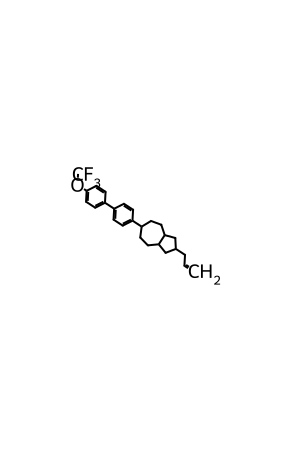 C=CCC1CC2CCC(c3ccc(-c4ccc(OC(F)(F)F)cc4)cc3)CCC2C1